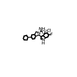 NC(=O)N1Cc2cc(-c3ccccc3)ccc2C1c1c[nH]c2cc(F)c(Cl)cc12